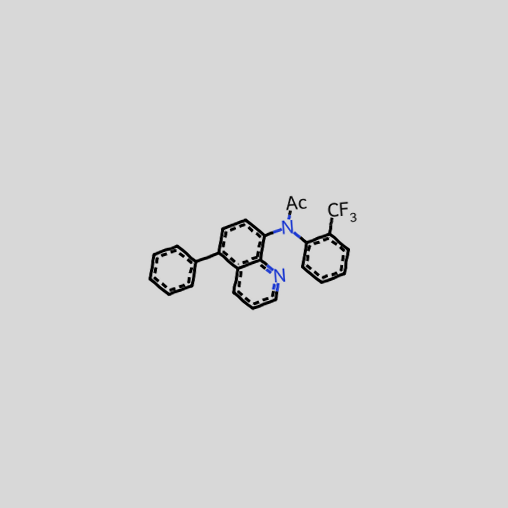 CC(=O)N(c1ccccc1C(F)(F)F)c1ccc(-c2ccccc2)c2cccnc12